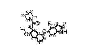 CCOc1cc2nccc(Oc3ccc4[nH]c(C)cc4c3F)c2cc1OC(=O)N1CCSCC1